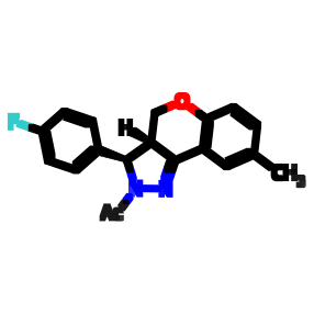 CC(=O)N1N=C2c3cc(C)ccc3OC[C@H]2[C@@H]1c1ccc(F)cc1